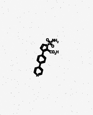 NS(=O)(=O)n1ccc(-c2ccc(-c3ccncc3)cc2)c1C(=O)O